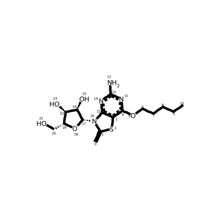 C=C1Sc2c(OCCCCC)nc(N)nc2N1[C@@H]1O[C@H](CO)[C@@H](O)[C@H]1O